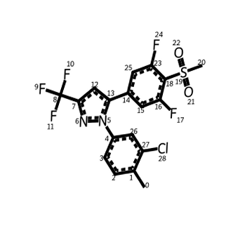 Cc1ccc(-n2nc(C(F)(F)F)cc2-c2cc(F)c(S(C)(=O)=O)c(F)c2)cc1Cl